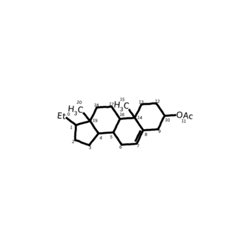 CCC1CCC2C3CC=C4CC(OC(C)=O)CCC4(C)C3CCC12C